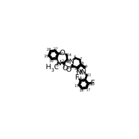 CN1C(=O)[C@@H](N2CCc3cn(Cc4c(F)cccc4F)nc3C2=O)COc2ccccc21